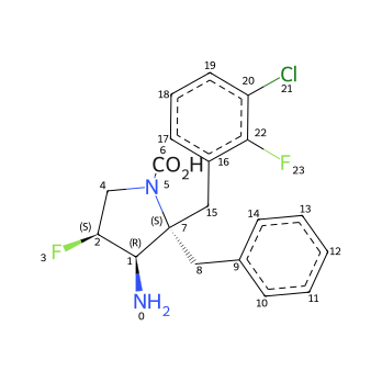 N[C@H]1[C@@H](F)CN(C(=O)O)[C@@]1(Cc1ccccc1)Cc1cccc(Cl)c1F